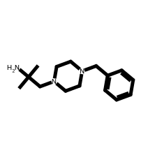 CC(C)(N)CN1CCN(Cc2ccccc2)CC1